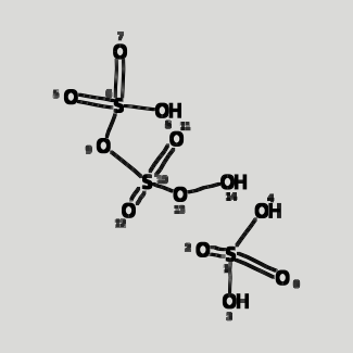 O=S(=O)(O)O.O=S(=O)(O)OS(=O)(=O)OO